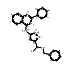 CCC(OCc1ccccc1)c1cc(Nc2nc(-c3ccccc3)nc3ccccc23)[nH]n1